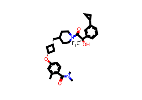 Cc1cc(O[C@H]2C[C@@H](CC3CCN(C(=O)[C@](O)(c4cccc(C5CC5)c4)C(F)(F)F)CC3)C2)ccc1C(=O)N(C)C